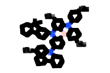 CC(C)(C)c1ccc(N(c2ccc3c(c2)N(c2ccc4c(c2)C(C)(C)c2ccccc2-4)c2cc(C(C)(C)C)cc4c2B3c2cc(C(C)(C)C)ccc2N4c2ccc(C(C)(C)C)cc2)c2ccccc2-c2ccccc2)cc1